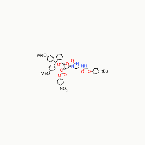 COc1ccc(C(OC[C@H]2O[C@@H](n3ccc(NC(=O)COc4ccc(C(C)(C)C)cc4)nc3=O)C[C@@H]2OC(=O)Oc2ccc([N+](=O)[O-])cc2)(c2ccccc2)c2ccc(OC)cc2)cc1